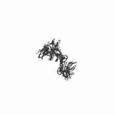 CCN(C(C)C)[C@@H]1CC[C@H](NC(=O)CNC(=O)c2cccc(C(F)(F)F)c2)[C@H](CS(=O)(=O)C(C)C)C1